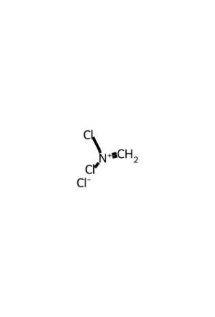 C=[N+](Cl)Cl.[Cl-]